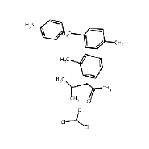 CC(=O)CC(C)C.Cc1ccc(C)cc1.Cc1ccccc1.ClC(Cl)Cl.S.c1ccccc1